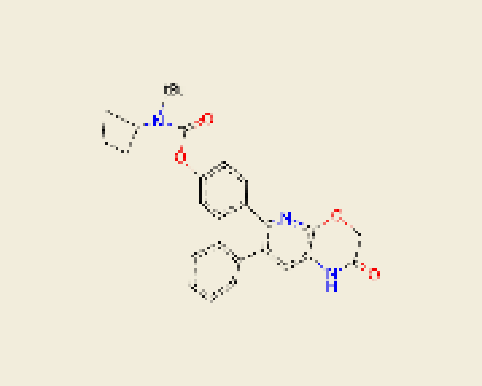 CC(C)(C)N(C(=O)Oc1ccc(-c2nc3c(cc2-c2ccccc2)NC(=O)CO3)cc1)C1CCC1